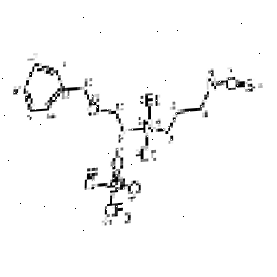 CC[N+](CC)(CCCN=C=S)CCOCc1ccccc1.O=S(=O)([O-])C(F)(F)F